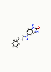 O=c1[nH]c2ccc(NCCCc3ccccc3)cc2[nH]1